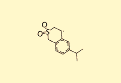 CC(C)c1ccc2c(c1)[CH]CS(=O)(=O)C2